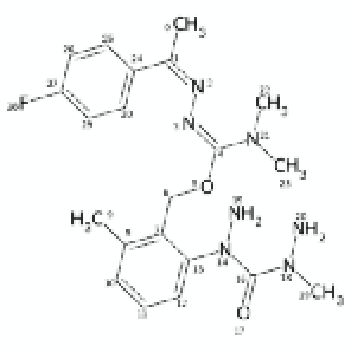 CC(=NN=C(OCc1c(C)cccc1N(N)C(=O)N(C)N)N(C)C)c1ccc(F)cc1